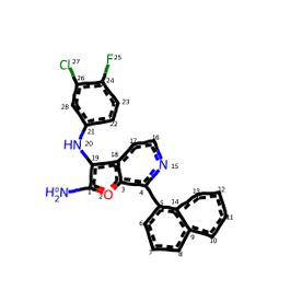 Nc1oc2c(-c3cccc4ccccc34)nccc2c1Nc1ccc(F)c(Cl)c1